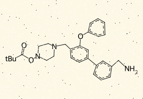 CC(C)(C)C(=O)ON1CCN(Cc2ccc(-c3cccc(CN)c3)cc2Oc2ccccc2)CC1